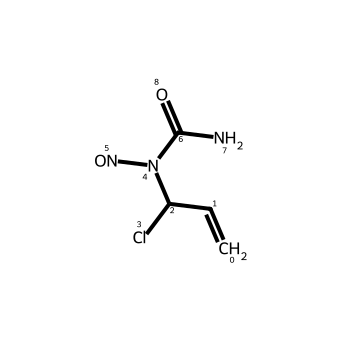 C=CC(Cl)N(N=O)C(N)=O